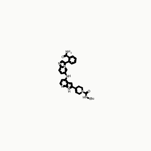 CC(C)(C)NC(=O)N1CC=C(c2cc3c(Nc4ccc5ncc(-c6ccccc6C(N)=O)n5c4)ccnc3[nH]2)CC1